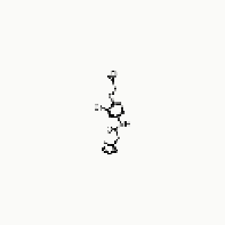 O=C(Cc1cccs1)Nc1ccc(OCC2CO2)c(Br)c1